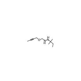 CC#CCOCNNC(C)(C)CC